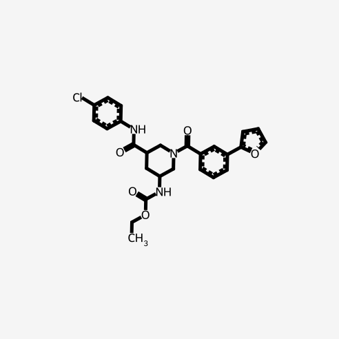 CCOC(=O)NC1CC(C(=O)Nc2ccc(Cl)cc2)CN(C(=O)c2cccc(-c3ccco3)c2)C1